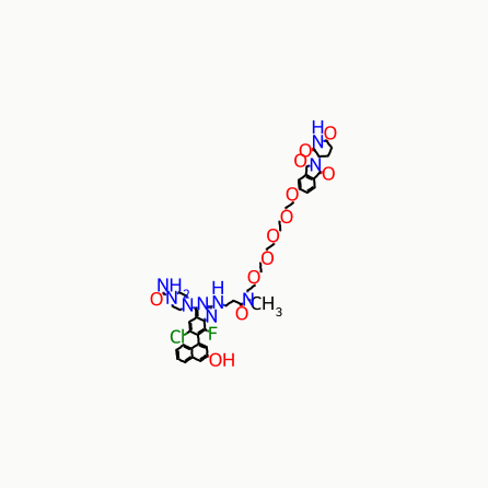 CN(CCOCCOCCOCCOCCOc1ccc2c(c1)C(=O)N(C1CCC(=O)NC1=O)C2=O)C(=O)CCNc1nc(N2CCN(C(N)=O)CC2)c2cc(Cl)c(-c3cc(O)cc4ccccc34)c(F)c2n1